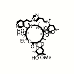 CC[C@H]1OC(=O)[C@H](C)[C@@H](O[C@H]2C[C@@](C)(OC)[C@@H](O)[C@H](C)O2)[C@H](C)[C@@H](O[C@@H]2O[C@H](C)C[C@H](N(C)CCc3cn(CCc4ccncc4)cn3)[C@H]2O)[C@](C)(O)C[C@@H](C)CN(C)[C@H](C)[C@@H](O)[C@]1(C)O